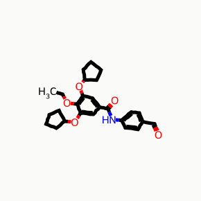 CCOc1c(OC2CCCC2)cc(C(=O)Nc2ccc(C=O)cc2)cc1OC1CCCC1